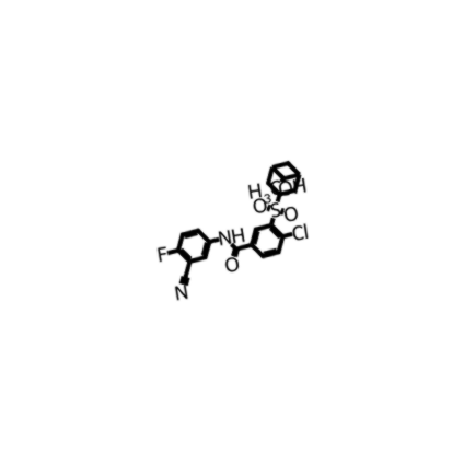 CC1(O)C2CC1CC(S(=O)(=O)c1cc(C(=O)Nc3ccc(F)c(C#N)c3)ccc1Cl)C2